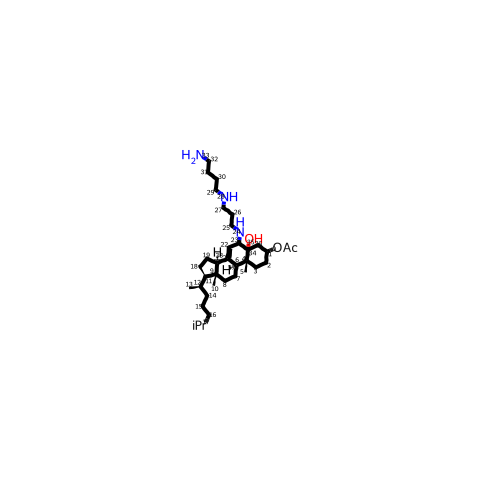 CC(=O)OC1CC[C@]2(C)[C@H]3CC[C@]4(C)[C@@H]([C@H](C)CCCC(C)C)CC[C@H]4C3=CC(NCCCNCCCCN)C2(O)C1